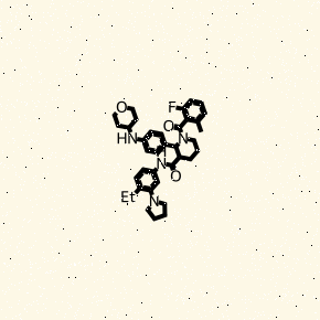 CCc1ccc(NC(=O)C2CCCN(C(=O)c3c(C)cccc3F)C2c2ccc(NC3CCOCC3)cc2)cc1N1CCCC1